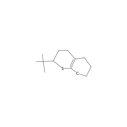 CC(C)(C)C1CCC2=C(CCCC2)S1